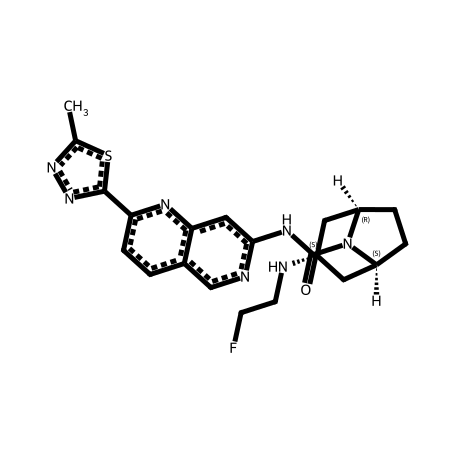 Cc1nnc(-c2ccc3cnc(NC(=O)N4[C@@H]5CC[C@H]4C[C@H](NCCF)C5)cc3n2)s1